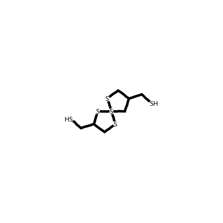 SCC1CSS2(C1)SCC(CS)S2